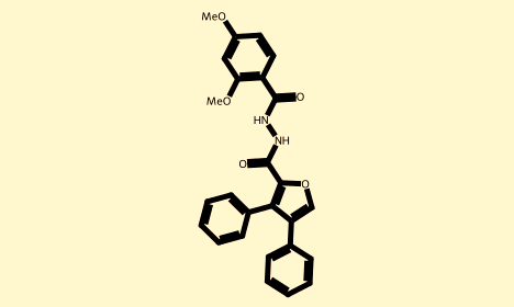 COc1ccc(C(=O)NNC(=O)c2occ(-c3ccccc3)c2-c2ccccc2)c(OC)c1